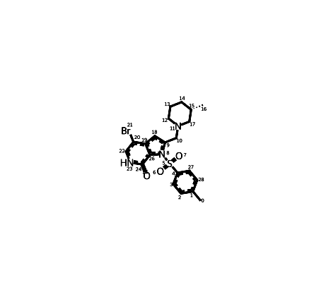 Cc1ccc(S(=O)(=O)n2c(CN3CCC[C@H](C)C3)cc3c(Br)c[nH]c(=O)c32)cc1